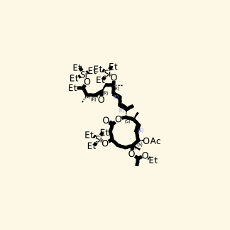 CCOC(C)O[C@]1(C)CCC(O[Si](CC)(CC)CC)CC(=O)O[C@H](/C(C)=C/C=C/[C@@](C)(C[C@H]2O[C@@H]2[C@H](C)C(CC)O[Si](CC)(CC)CC)O[Si](CC)(CC)CC)[C@@H](C)/C=C/[C@@H]1OC(C)=O